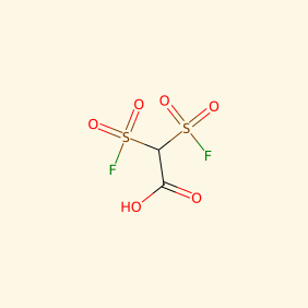 O=C(O)C(S(=O)(=O)F)S(=O)(=O)F